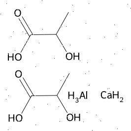 CC(O)C(=O)O.CC(O)C(=O)O.[AlH3].[CaH2]